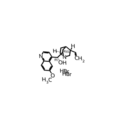 Br.Br.C=C[C@@H]1CN2CCC1C[C@@H]2[C@H](O)c1ccnc2ccc(OC)cc12